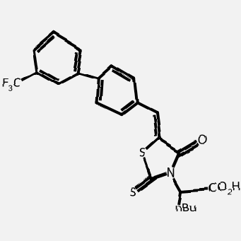 CCCCC(C(=O)O)N1C(=O)C(=Cc2ccc(-c3cccc(C(F)(F)F)c3)cc2)SC1=S